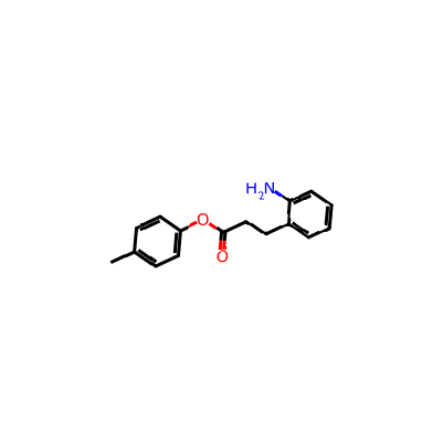 Cc1ccc(OC(=O)CCc2ccccc2N)cc1